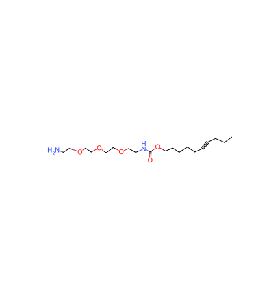 CCCC#CCCCCCOC(=O)NCCOCCOCCOCCN